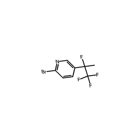 CC(F)(c1ccc(Br)nc1)C(F)(F)F